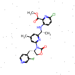 COC(=O)c1nc(Cl)ccc1N[C@H](C)c1cc(C)cc(N2C(=O)OC[C@@H]2Cc2ccncc2F)n1